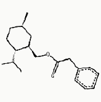 CC(C)[C@@H]1CC[C@@H](C)C[C@H]1COC(=O)Cc1ccccc1